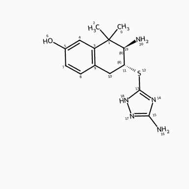 CC1(C)c2cc(O)ccc2C[C@@H](Sc2nc(N)n[nH]2)[C@@H]1N